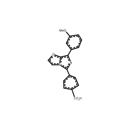 COc1cccc(-c2nc(-c3ccc(C(=O)O)cc3)n3ccoc23)c1